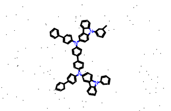 CC1C=CC=C(n2c3ccccc3c3cc(N(c4ccc(-c5ccccc5)cc4)c4ccc(-c5ccc(N(c6ccc(C7C=CC=CC7)cc6)c6ccc7c(c6)c6ccccc6n7-c6ccccc6)cc5)cc4)ccc32)C1